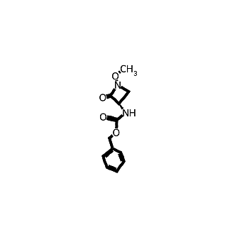 CON1C[C@@H](NC(=O)OCc2ccccc2)C1=O